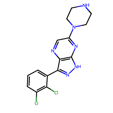 Clc1cccc(-c2n[nH]c3nc(N4CCNCC4)cnc23)c1Cl